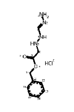 Cl.NN=CNNCC(=O)OCc1ccccc1